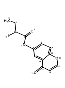 CCC(I)C(=O)Oc1ccc2occc(=O)c2c1